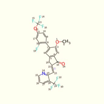 COc1cc2c(cc1-c1ccc(OC(F)(F)F)cc1F)C/C(=C\c1ncccc1C(F)(F)F)C2=O